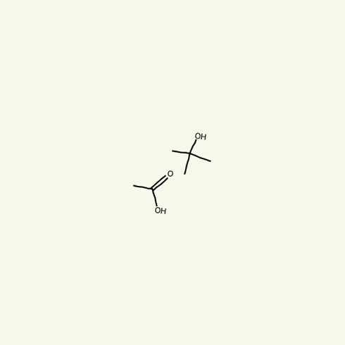 CC(=O)O.CC(C)(C)O